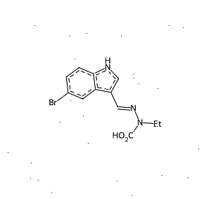 CCN(N=Cc1c[nH]c2ccc(Br)cc12)C(=O)O